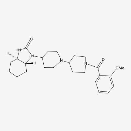 COc1ccccc1C(=O)N1CCC(N2CCC(N3C(=O)N[C@@H]4CCCC[C@H]43)CC2)CC1